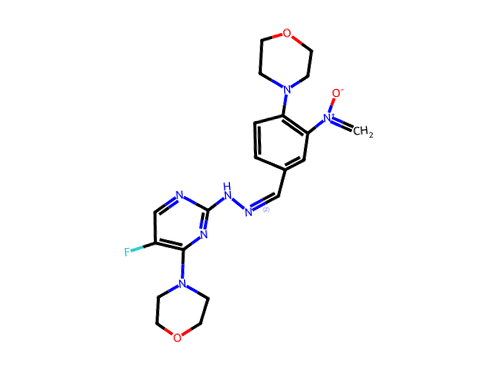 C=[N+]([O-])c1cc(/C=N\Nc2ncc(F)c(N3CCOCC3)n2)ccc1N1CCOCC1